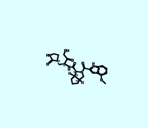 COc1cccc2[nH]c(C(=O)N3C[C@@H]4CCC[C@@H]4[C@H]3C(=O)N[C@@H](C[C@H]3CCNC3=O)C(=O)CO)cc12